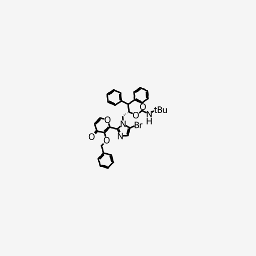 CC(C)(C)NC(=O)O[C@H](Cn1c(Br)cnc1-c1occc(=O)c1OCc1ccccc1)C(c1ccccc1)c1ccccc1